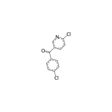 O=C(c1ccc(Cl)cc1)c1ccc(Cl)nc1